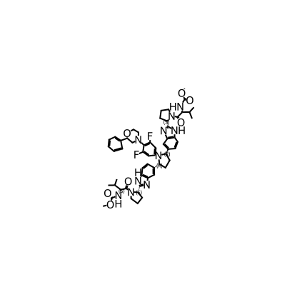 COC(=O)NC(C(=O)N1CCC[C@H]1c1nc2cc([C@H]3CC[C@H](c4ccc5[nH]c([C@@H]6CCCN6C(=O)[C@@H](NC(=O)OC)C(C)C)nc5c4)N3c3cc(F)c(N4CCOC(c5ccccc5)C4)c(F)c3)ccc2[nH]1)C(C)C